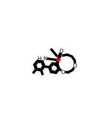 Cc1cccc(-c2ccc3c(c2)[C@]2(CCCCOCCO3)N=C(N)N(C)C2=O)c1C